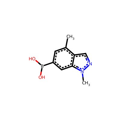 Cc1cc(B(O)O)cc2c1cnn2C